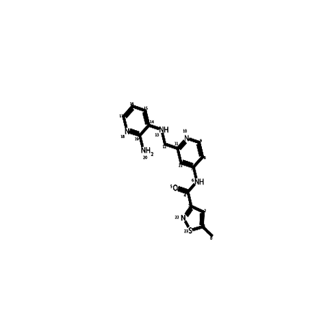 Cc1cc(C(=O)Nc2ccnc(CNc3cccnc3N)c2)ns1